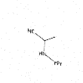 CCCNC(C)C#N